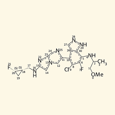 COCC(C)Nc1c(F)c(Cl)c(-c2cn3cc(NC[C@@H]4C[C@@H]4F)nc3cn2)c2cn[nH]c12